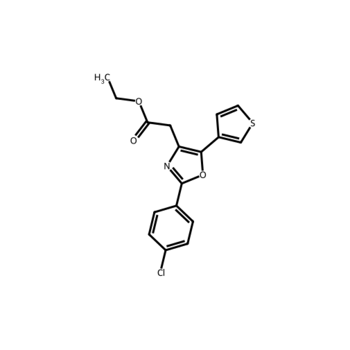 CCOC(=O)Cc1nc(-c2ccc(Cl)cc2)oc1-c1ccsc1